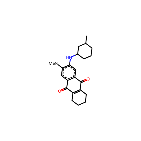 CNc1cc2c(cc1NC1CCCC(C)C1)C(=O)C1=C(CCCC1)C2=O